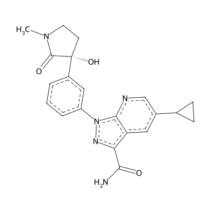 CN1CC[C@@](O)(c2cccc(-n3nc(C(N)=O)c4cc(C5CC5)cnc43)c2)C1=O